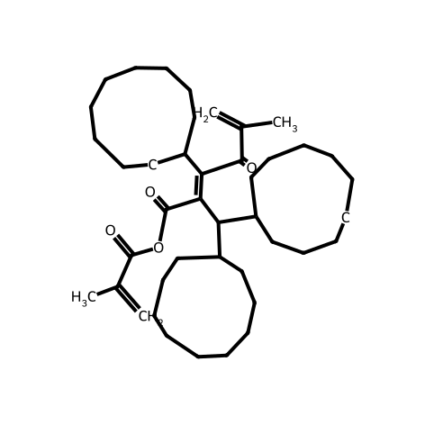 C=C(C)C(=O)OC(=O)C(=C(C(=O)C(=C)C)C1CCCCCCCCC1)C(C1CCCCCCCCC1)C1CCCCCCCCC1